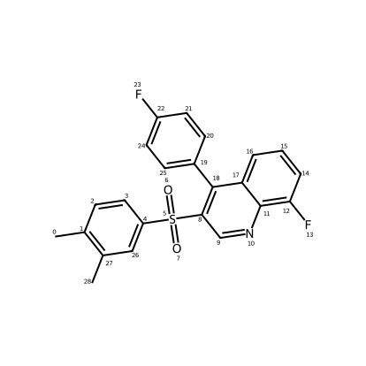 Cc1ccc(S(=O)(=O)c2cnc3c(F)cccc3c2-c2ccc(F)cc2)cc1C